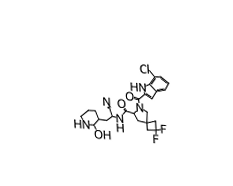 N#CC(CC1CCCNC1O)NC(=O)C1CC2(CN1C(=O)c1cc3cccc(Cl)c3[nH]1)CC(F)(F)C2